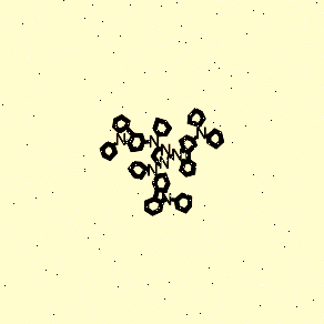 c1ccc(N(c2ccccc2)c2ccc3c(c2)c2ccccc2n3-c2nc(N(c3ccccc3)c3ccc4c(c3)c3ccccc3n4-c3ccccc3)cc(N(c3ccccc3)c3ccc4c(c3)c3ccccc3n4-c3ccccc3)n2)cc1